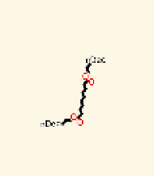 CCCCCCCCCCCCCOC(=O)CCCCCCCCC(=O)OCCCCCCCCCCCCC